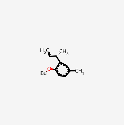 C=C[C@H](C)c1cc(C)ccc1O[C@@H](C)CC